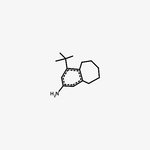 CC(C)(C)c1cc(N)cc2c1CCCCC2